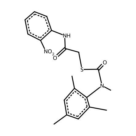 Cc1cc(C)c(N(C)C(=O)SCC(=O)Nc2ccccc2[N+](=O)[O-])c(C)c1